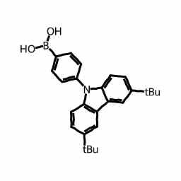 CC(C)(C)c1ccc2c(c1)c1cc(C(C)(C)C)ccc1n2-c1ccc(B(O)O)cc1